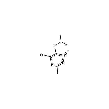 Cc1cc(O)c(SC(C)C)c(=O)o1